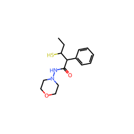 CCC(S)C(C(=O)NN1CCOCC1)c1ccccc1